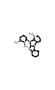 Cc1cccc(-n2c3nc4ccccc4n3c3ccc[n+](C)c32)[n+]1C